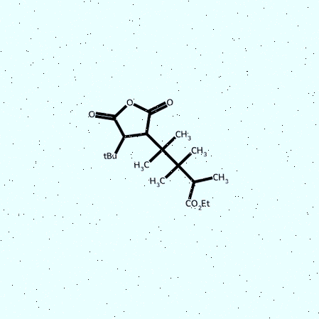 CCOC(=O)C(C)C(C)(C)C(C)(C)C1C(=O)OC(=O)C1C(C)(C)C